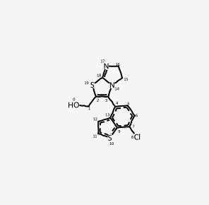 OCC1=C(c2ccc(Cl)c3sccc23)N2CCN=C2S1